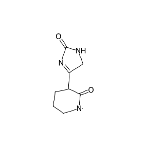 O=C1N=C(C2CCC[N]C2=O)CN1